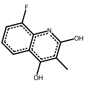 Cc1c(O)nc2c(F)cccc2c1O